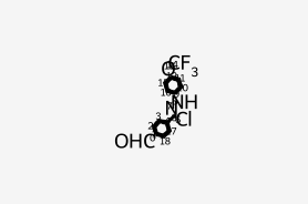 O=Cc1ccc(/C(Cl)=N/Nc2ccc(OC(F)(F)F)cc2)cc1